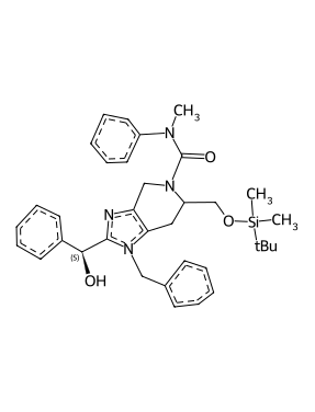 CN(C(=O)N1Cc2nc([C@@H](O)c3ccccc3)n(Cc3ccccc3)c2CC1CO[Si](C)(C)C(C)(C)C)c1ccccc1